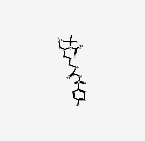 Cc1ccc(S(=O)(=O)NC(=N)NCCC[C@@H](CO)N(C(=O)O)C(C)(C)C)cc1